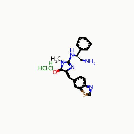 CN1C(=O)/C(=C/c2ccc3ncsc3c2)N=C1N[C@@H](CN)c1ccccc1.Cl.Cl